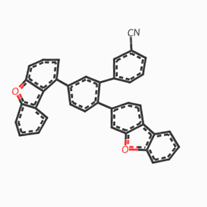 N#Cc1cccc(-c2cc(-c3cccc4oc5ccccc5c34)ccc2-c2ccc3c(c2)oc2ccccc23)c1